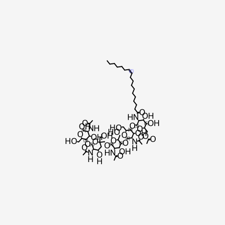 CCCCCC/C=C\CCCCCCCCCC(=O)NC1C(O)[C@H](O)C(COC(C)=O)O[C@H]1O[C@@H]1C(CO)O[C@@H](O[C@@H]2C(CO)O[C@@H](OCC3(CO)CC(O)C(NC(C)=O)[C@H](O[C@@H]4C(CO)O[C@@H](O)C(NC(C)=O)C4O)O3)C(NC(C)=O)C2O)C(NC(C)=O)C1O